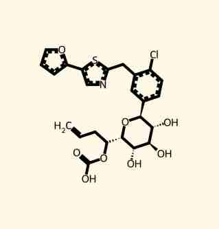 C=CCC(OC(=O)O)[C@@H]1O[C@@H](c2ccc(Cl)c(Cc3ncc(-c4ccco4)s3)c2)[C@H](O)[C@@H](O)[C@@H]1O